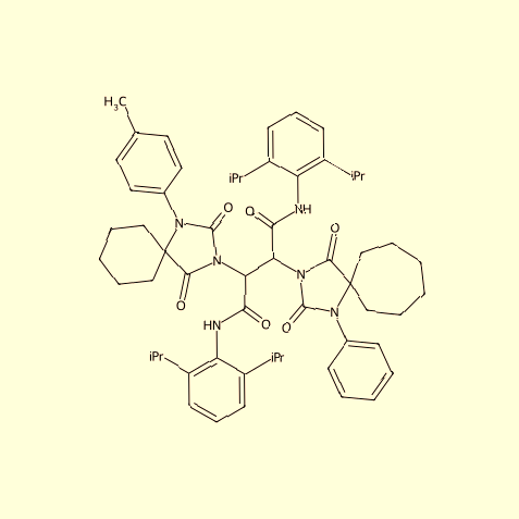 Cc1ccc(N2C(=O)N(C(C(=O)Nc3c(C(C)C)cccc3C(C)C)C(C(=O)Nc3c(C(C)C)cccc3C(C)C)N3C(=O)N(c4ccccc4)C4(CCCCCC4)C3=O)C(=O)C23CCCCC3)cc1